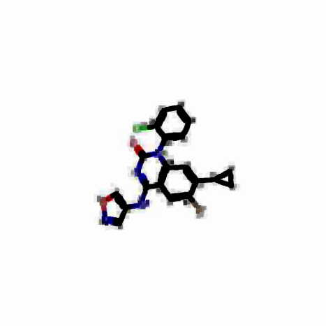 O=c1nc(Nc2cnoc2)c2cc(Br)c(C3CC3)cc2n1-c1ccccc1Cl